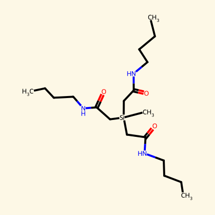 CCCCNC(=O)C[Si](C)(CC(=O)NCCCC)CC(=O)NCCCC